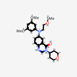 COc1cc(OC)cc(N(CCOSC)c2ccc3ncn(C4CCOCC4)c(=O)c3c2)c1